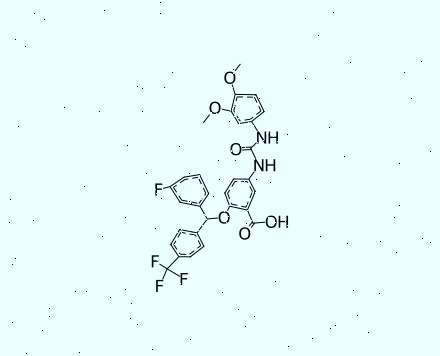 COc1ccc(NC(=O)Nc2ccc(OC(c3ccc(C(F)(F)F)cc3)c3cccc(F)c3)c(C(=O)O)c2)cc1OC